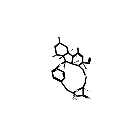 C=C[C@@]1(C)C=C(C)[C@@H]2[C@H]3C1COC[C@@H]1C[C@](O)(Cc4ccc(cc4)O[C@@H]3[C@@H]3[C@@H](C)C[C@@H](C)C[C@]32C)NC1=O